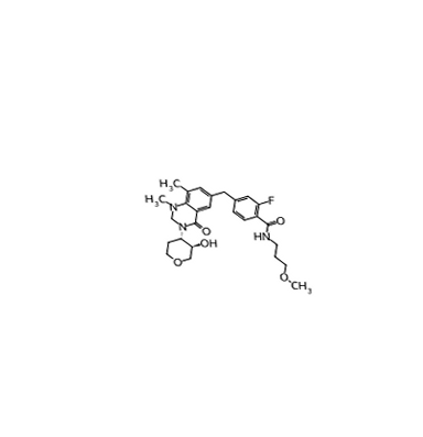 COCCCNC(=O)c1ccc(Cc2cc(C)c3c(c2)C(=O)N([C@H]2CCOC[C@@H]2O)CN3C)cc1F